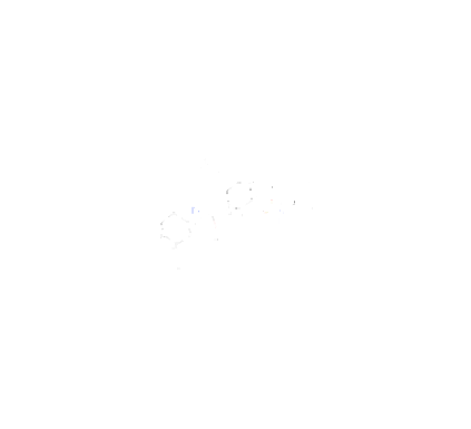 COc1ccc(S(=O)(=O)NC2CCOC2)cc1C(=O)Nc1ccc(F)c(F)c1